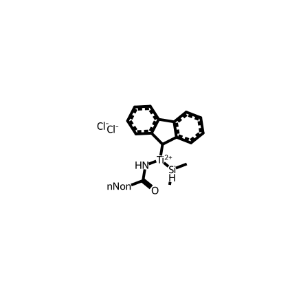 CCCCCCCCCC(=O)[NH][Ti+2]([CH]1c2ccccc2-c2ccccc21)[SiH](C)C.[Cl-].[Cl-]